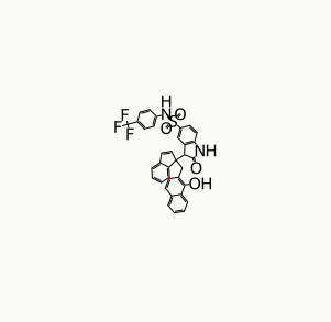 O=C1Nc2ccc(S(=O)(=O)Nc3ccc(C(F)(F)F)cc3)cc2C1C1(Cc2ccc3ccccc3c2O)C=Cc2ccccc21